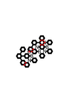 c1ccc(-c2cccc(-c3ccccc3)c2-c2cc3c4c(c2)N(c2ccccc2)c2ccccc2B4c2cc4c(cc2O3)N(c2c(-c3ccccc3)cccc2-c2ccccc2)c2cc3c5c6c2B4c2ccccc2N6c2ccccc2B5c2ccccc2N3c2ccccc2)cc1